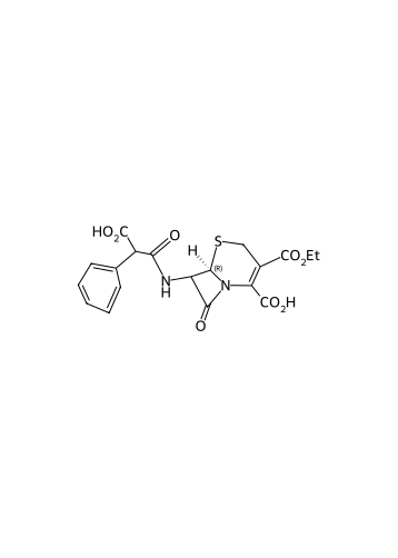 CCOC(=O)C1=C(C(=O)O)N2C(=O)C(NC(=O)C(C(=O)O)c3ccccc3)[C@H]2SC1